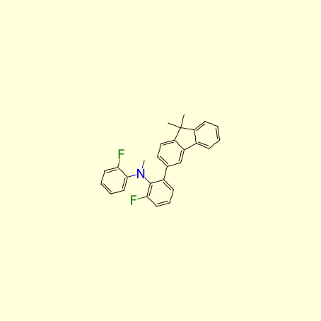 CN(c1ccccc1F)c1c(F)cccc1-c1ccc2c(c1)-c1ccccc1C2(C)C